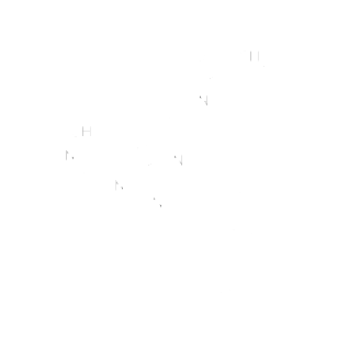 C=CC(=O)N1CCC(n2c(=O)c(NC[C@@H]3CCCN3C)nc3cc(-c4cc(O)cc5ccccc45)c(Cl)cc32)CC1